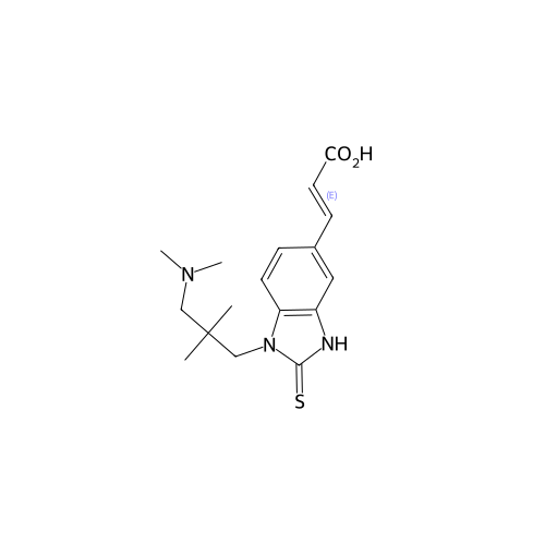 CN(C)CC(C)(C)Cn1c(=S)[nH]c2cc(/C=C/C(=O)O)ccc21